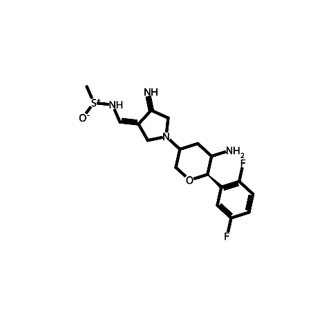 C[S+]([O-])N/C=C1/CN(C2CO[C@H](c3cc(F)ccc3F)C(N)C2)CC1=N